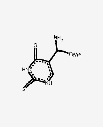 COC(N)c1c[nH]c(=S)[nH]c1=O